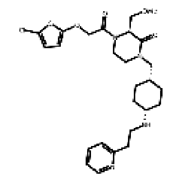 COC[C@H]1C(=O)N(C[C@H]2CC[C@@H](NCCc3ccccn3)CC2)CCN1C(=O)COc1ccc(Cl)s1